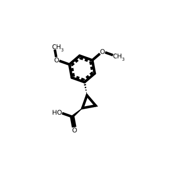 COc1cc(OC)cc([C@@H]2C[C@H]2C(=O)O)c1